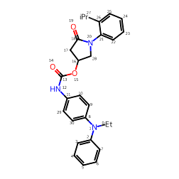 CCN(c1ccccc1)c1ccc(NC(=O)OC2CC(=O)N(c3ccccc3C(C)C)C2)cc1